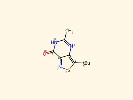 Cc1nc2c(C(C)(C)C)snc2c(=O)[nH]1